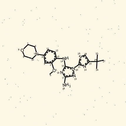 COc1cc(N2CCOCC2)ccc1Nc1nc(N)nn1-c1nc(C(C)(C)C)cs1